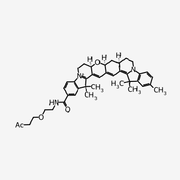 CC(=O)CCOCCNC(=O)c1ccc2c(c1)C(C)(C)C1=[N+]2CC[C@H]2O[C@H]3C[C@H]4CCN5C(=C4C=C3C=C12)C(C)(C)c1cc(C)ccc15